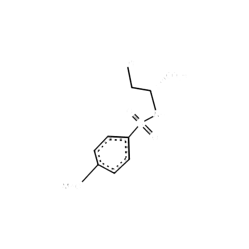 COc1ccc(S(=O)(=O)N[C@H](CC(C)C)C(=O)O)cc1